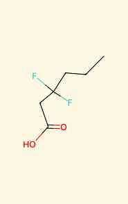 CCCC(F)(F)CC(=O)O